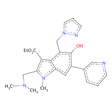 CCOC(=O)c1c(CN(C)C)n(C)c2cc(-c3cccnc3)c(O)c(Cn3cccn3)c12